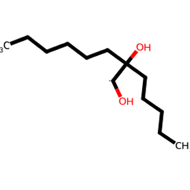 CCCCCCC(O)([CH]O)CCCCC